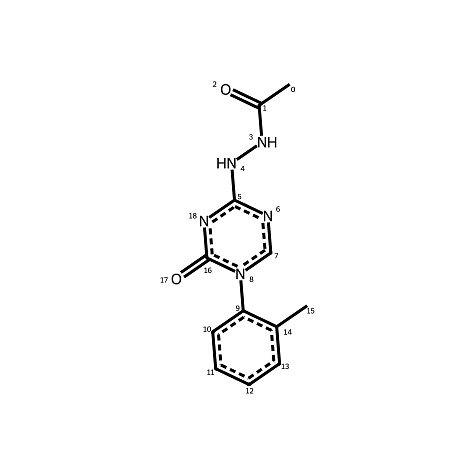 CC(=O)NNc1ncn(-c2ccccc2C)c(=O)n1